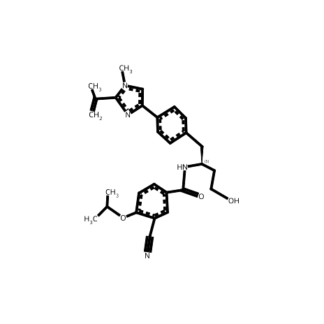 C=C(C)c1nc(-c2ccc(C[C@@H](CCO)NC(=O)c3ccc(OC(C)C)c(C#N)c3)cc2)cn1C